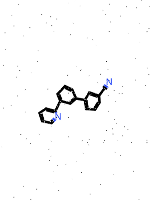 N#Cc1cccc(-c2cccc(-c3ccccn3)c2)c1